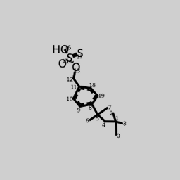 CC(C)(C)CC(C)(C)c1ccc(COS(=O)(O)=S)cc1